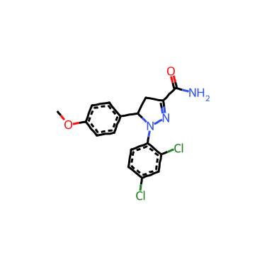 COc1ccc(C2CC(C(N)=O)=NN2c2ccc(Cl)cc2Cl)cc1